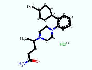 CC(CCC(N)=O)N1CCN(c2ccccc2C2CCC(C(C)(C)C)CC2)CC1.Cl